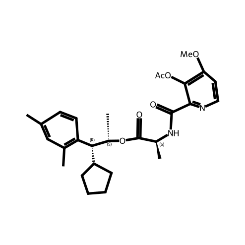 COc1ccnc(C(=O)N[C@@H](C)C(=O)O[C@@H](C)[C@@H](c2ccc(C)cc2C)C2CCCC2)c1OC(C)=O